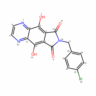 O=C1c2c(c(O)c3nccnc3c2O)C(=O)N1Cc1ccc(Br)cc1